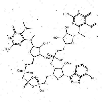 C=Nc1c(N(C)[C@@H]2O[C@H](COP(=O)(O)O[C@@H]3C(OC)[C@H](n4cnc5c(N)ncnc54)O[C@@H]3COP(=O)(O)OP(=O)(O)OP(=O)(O)OC[C@H]3O[C@@H](N(C)c4nc(N)[nH]c(=O)c4N(C)C)C(O)C3OC)C(O)C2O)nc(N)[nH]c1=O